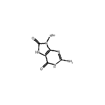 CC(C)(C)n1c(=O)[nH]c2c(=O)[nH]c(N)nc21